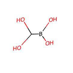 OB(O)C(O)O